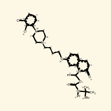 CC(C)C(OC(=O)N(C(C)C)C(C)(C)C(C)(C)C)n1c(=O)ccc2ccc(OCCCCN3CCN(c4cccc(Cl)c4Cl)CC3)cc21